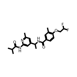 Cc1cc(C(C)NC(=O)c2ccc(OCC(F)F)c(C)c2)cc(NC(=O)C(C)C)n1